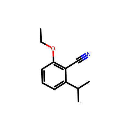 [CH2]C(C)c1cccc(OCC)c1C#N